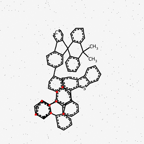 CC1(C)c2ccccc2C2(c3ccccc3-c3ccc(-c4ccc(N(c5ccccc5-c5ccccc5-c5ccccc5-c5ccccc5)c5ccccc5-c5cccc6c5sc5ccccc56)cc4)cc32)c2ccccc21